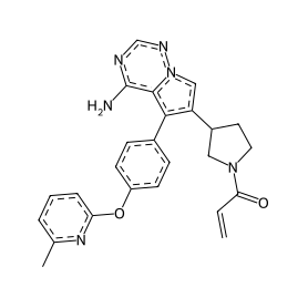 C=CC(=O)N1CCC(c2cn3ncnc(N)c3c2-c2ccc(Oc3cccc(C)n3)cc2)C1